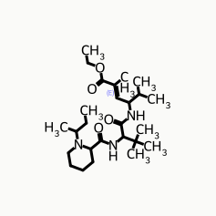 CCOC(=O)/C(C)=C/C(NC(=O)C(NC(=O)C1CCCCN1C(C)CC)C(C)(C)C)C(C)C